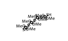 COC1C[C@H](CSSC[C@H]2CC(OC)[C@@H](CSSC[C@H]3CC(OC)[C@@H](CSSC[C@H]4CC(OC)[C@@H](CS)CC4OC)CC3OC)CC2OC)C(OC)C[C@@H]1CS